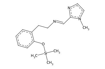 Cn1ccnc1C=NCCc1ccccc1O[Si](C)(C)C